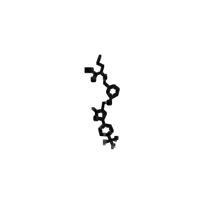 CCCC(SCc1cccc(OCc2cc(-c3ccc(C(F)(F)F)cc3)oc2C)c1)C(=O)O